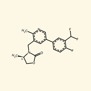 Cc1ncc(-c2ccc(F)c(C(F)F)c2)cc1CN1C(=O)OC[C@H]1C